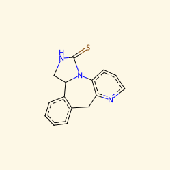 S=C1NCC2c3ccccc3Cc3ncccc3N12